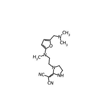 CN(C)Cc1ccc(N(C)CCN2CCNC2=C(C#N)C#N)o1